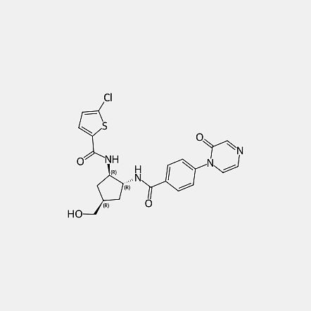 O=C(N[C@@H]1C[C@@H](CO)C[C@H]1NC(=O)c1ccc(Cl)s1)c1ccc(-n2ccncc2=O)cc1